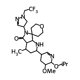 COC1CC(C2CC(C)C3C(=O)N(C4C=NN(CC(F)(F)F)C4)C4(CCOCC4)C3N2)C=NC1OC(C)C